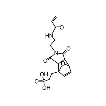 C=CC(=O)NCCN1C(=O)C2C3C=CC(CCP(=O)(O)O)(O3)C2C1=O